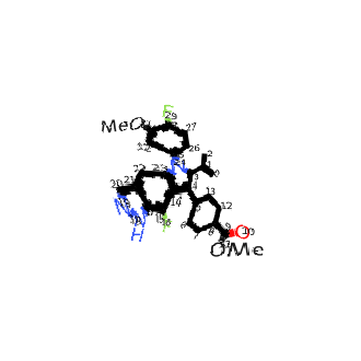 C=C(C)c1c(C2CCC(C(=O)OC)CC2)c2c(F)c3[nH]ncc3cc2n1-c1ccc(F)c(OC)c1